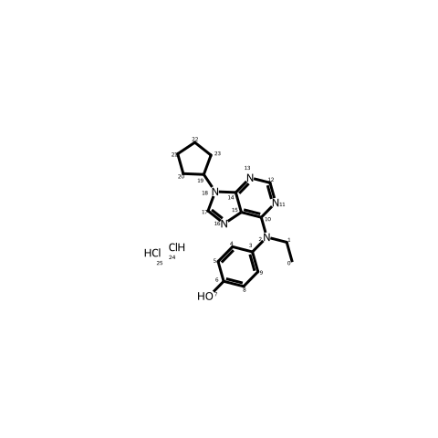 CCN(c1ccc(O)cc1)c1ncnc2c1ncn2C1CCCC1.Cl.Cl